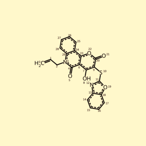 C=CCn1c(=O)c2c(O)c(Sc3nc4ccccc4o3)c(=O)oc2c2ccccc21